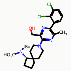 Cc1nc(N2CCC3(CCC[C@H]3N(C(=O)O)C(C)(C)C)CC2)c(CO)nc1-c1cccc(Cl)c1Cl